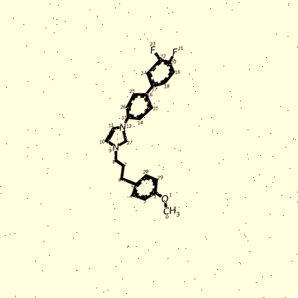 COc1ccc(CCCN2C=CN(c3ccc(-c4ccc(F)c(F)c4)cc3)C2)cc1